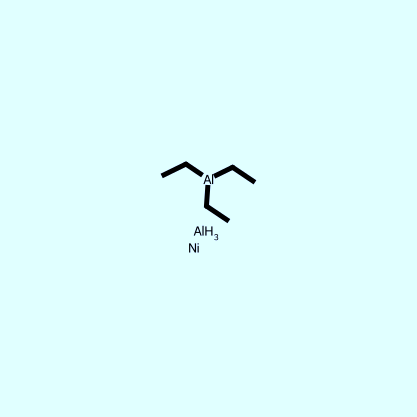 C[CH2][Al]([CH2]C)[CH2]C.[AlH3].[Ni]